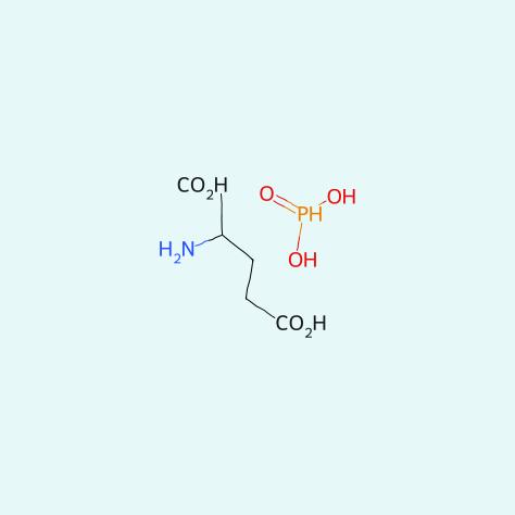 NC(CCC(=O)O)C(=O)O.O=[PH](O)O